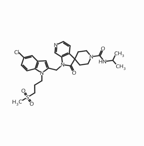 CC(C)NC(=O)N1CCC2(CC1)C(=O)N(Cc1cc3cc(Cl)ccc3n1CCCS(C)(=O)=O)c1cnccc12